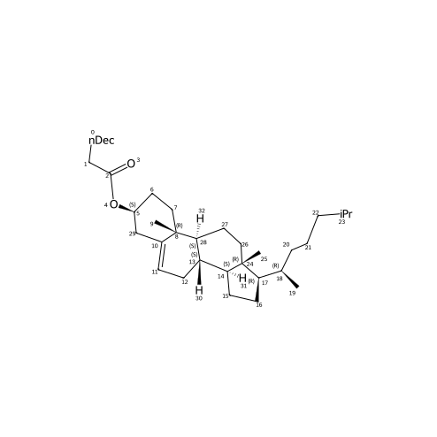 CCCCCCCCCCCC(=O)O[C@H]1CC[C@@]2(C)C(=CC[C@H]3[C@@H]4CC[C@H]([C@H](C)CCCC(C)C)[C@@]4(C)CC[C@@H]32)C1